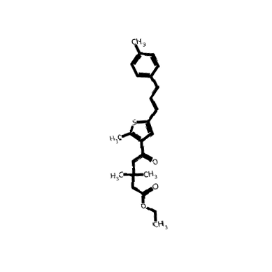 CCOC(=O)CC(C)(C)CC(=O)c1cc(CCCc2ccc(C)cc2)sc1C